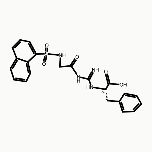 N=C(NC(=O)CNS(=O)(=O)c1cccc2ccccc12)N[C@@H](Cc1ccccc1)C(=O)O